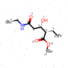 CC[C@H](C)CNC(=O)C[C@H](O)[C@H](CC(C)C)C(=O)OC(C)(C)C